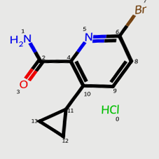 Cl.NC(=O)c1nc(Br)ccc1C1CC1